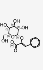 O=C(O)C(=Cc1ccccc1)O[C@@H]1O[C@H](CO)[C@@H](O)[C@@H](O)[C@@H]1O